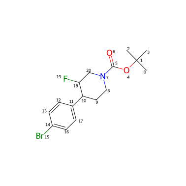 CC(C)(C)OC(=O)N1CCC(c2ccc(Br)cc2)C(F)C1